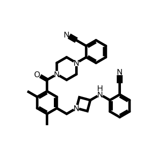 Cc1cc(C)c(C(=O)N2CCN(c3ccccc3C#N)CC2)cc1CN1CC(Nc2ccccc2C#N)C1